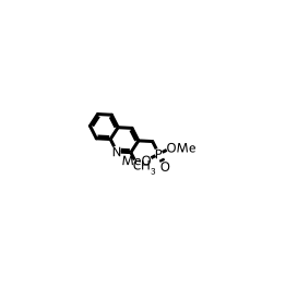 COP(=O)(Cc1cc2ccccc2nc1C)OC